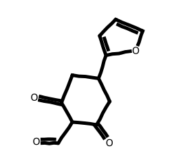 O=CC1C(=O)CC(c2ccco2)CC1=O